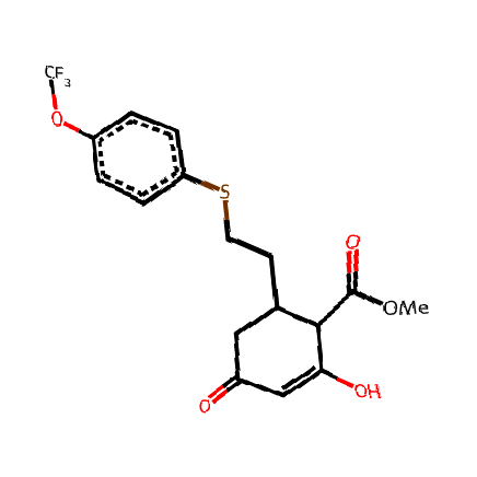 COC(=O)C1C(O)=CC(=O)CC1CCSc1ccc(OC(F)(F)F)cc1